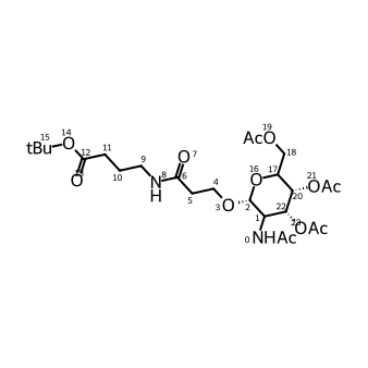 CC(=O)NC1[C@H](OCCC(=O)NCCCC(=O)OC(C)(C)C)OC(COC(C)=O)[C@H](OC(C)=O)[C@@H]1OC(C)=O